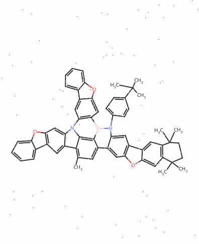 Cc1cc2c3c4c1c1cc5c(cc1n4-c1cc4c(cc1B3N(c1ccc(C(C)(C)C)cc1)c1cc3c(cc1-2)oc1cc2c(cc13)C(C)(C)CCC2(C)C)oc1ccccc14)oc1ccccc15